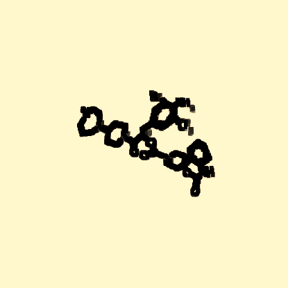 CN1CCCN(C2CCN(C(=O)[C@@H](Cc3cc(Br)c(N)c(C(F)(F)F)c3)OC(=O)N3CCC4(CC3)OC(=O)Nc3ccccc34)CC2)CC1